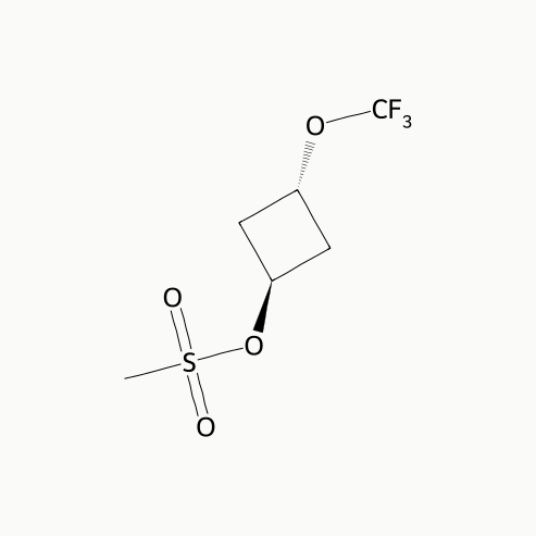 CS(=O)(=O)O[C@H]1C[C@H](OC(F)(F)F)C1